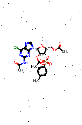 CC(=O)Nc1nc(Cl)c2ncn([C@@H]3O[C@H](COC(C)=O)[C@H](OS(=O)(=O)c4ccc(C)cc4)[C@H]3OC(C)=O)c2n1